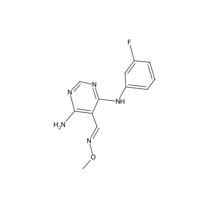 CON=Cc1c(N)ncnc1Nc1cccc(F)c1